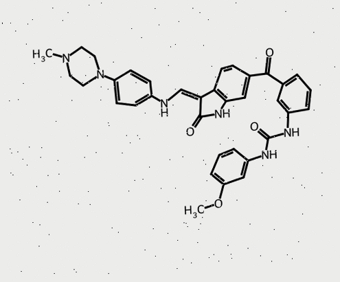 COc1cccc(NC(=O)Nc2cccc(C(=O)c3ccc4c(c3)NC(=O)C4=CNc3ccc(N4CCN(C)CC4)cc3)c2)c1